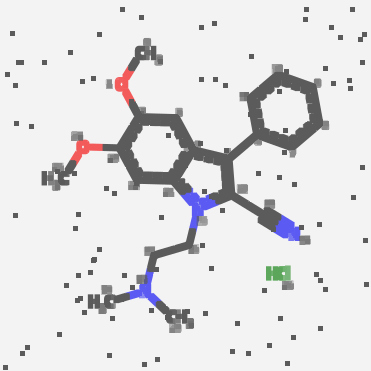 COc1cc2c(-c3ccccc3)c(C#N)n(CCN(C)C)c2cc1OC.Cl